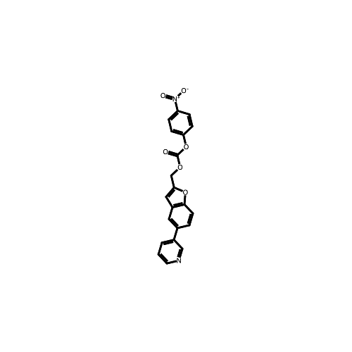 O=C(OCc1cc2cc(-c3cccnc3)ccc2o1)Oc1ccc([N+](=O)[O-])cc1